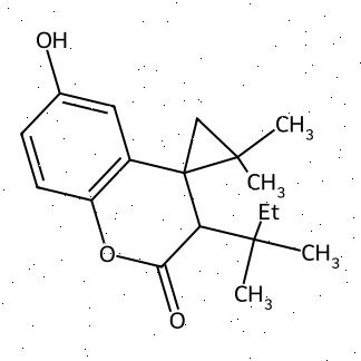 CCC(C)(C)C1C(=O)Oc2ccc(O)cc2C12CC2(C)C